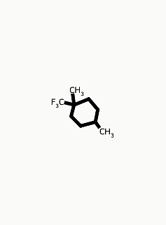 CC1CCC(C)(C(F)(F)F)CC1